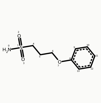 NS(=O)(=O)CCCOc1cc[c]cc1